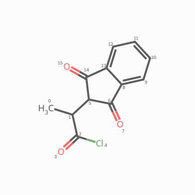 CC(C(=O)Cl)C1C(=O)c2ccccc2C1=O